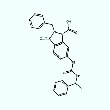 CC(NC(=O)Nc1cc2c(cn1)c(=O)n(Cc1ccccc1)n2C(=O)O)c1ccccc1